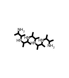 CC(N)C(C)NC(C)C(C)NC(C)C(C)NC(C)C(C)NC(C)C(C)N